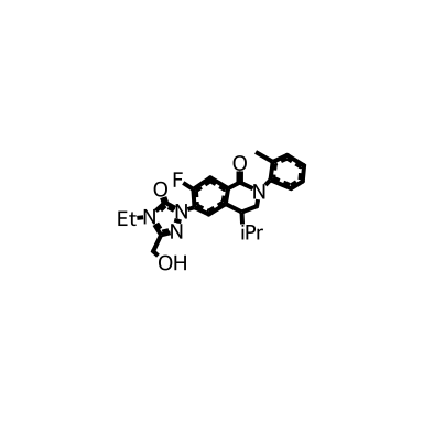 CCn1c(CO)nn(-c2cc3c(cc2F)C(=O)N(c2ccccc2C)CC3C(C)C)c1=O